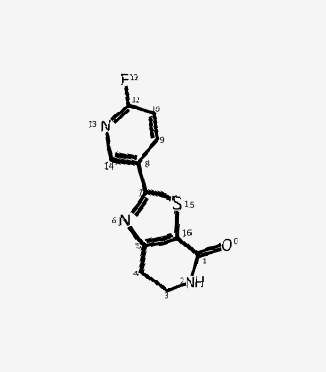 O=C1NCCc2nc(-c3ccc(F)nc3)sc21